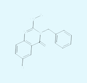 NNc1nc2ccc(Cl)cc2c(=O)n1Cc1ccccc1